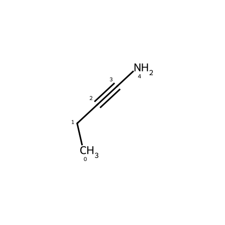 CCC#CN